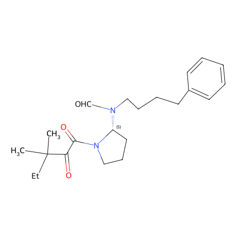 CCC(C)(C)C(=O)C(=O)N1CCC[C@H]1N(C=O)CCCCc1ccccc1